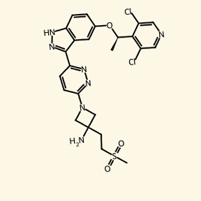 C[C@@H](Oc1ccc2[nH]nc(-c3ccc(N4CC(N)(CCS(C)(=O)=O)C4)nn3)c2c1)c1c(Cl)cncc1Cl